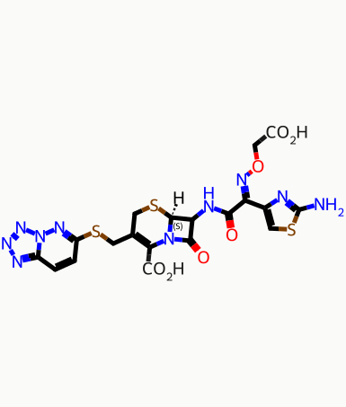 Nc1nc(C(=NOCC(=O)O)C(=O)NC2C(=O)N3C(C(=O)O)=C(CSc4ccc5nnnn5n4)CS[C@@H]23)cs1